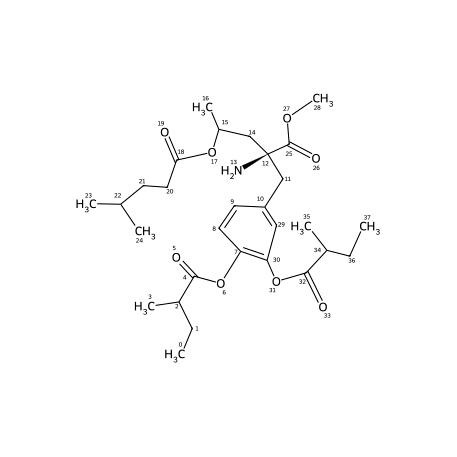 CCC(C)C(=O)Oc1ccc(C[C@](N)(CC(C)OC(=O)CCC(C)C)C(=O)OC)cc1OC(=O)C(C)CC